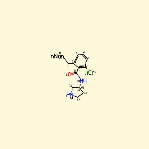 CCCCCCCCCCc1ccccc1C(=O)N[C@@H]1CCNC1.Cl